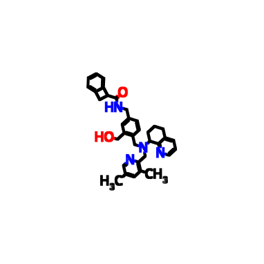 Cc1cnc(CN(Cc2ccc(CNC(=O)C3Cc4ccccc43)cc2CO)C2CCCc3cccnc32)c(C)c1